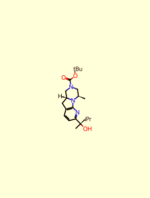 CC(C)[C@](C)(O)c1ccc2c(n1)N1[C@H](C2)CN(C(=O)OC(C)(C)C)C[C@H]1C